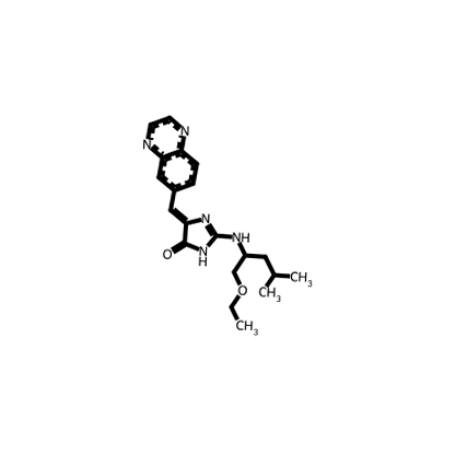 CCOCC(CC(C)C)NC1=N/C(=C\c2ccc3nccnc3c2)C(=O)N1